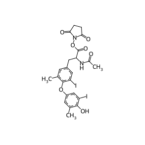 CC(=O)NC(Cc1cc(C)c(Oc2cc(C)c(O)c(I)c2)c(I)c1)C(=O)ON1C(=O)CCC1=O